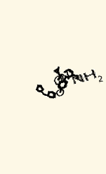 NCC1=C[N+](C(=O)C2CC2)(c2ccc(Oc3ccc(Cc4ccccc4)cc3)cc2)CC=C1